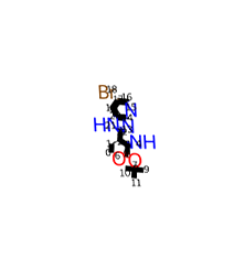 CC[C@@H](C(=N)C(=O)OC(C)(C)C)c1nc2ncc(Br)cc2[nH]1